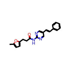 Cc1ccc(CCC(=O)Nc2ncc(/C=C/c3ccccc3)cn2)o1